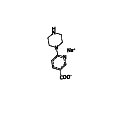 O=C([O-])c1ccc(N2CCNCC2)nc1.[Na+]